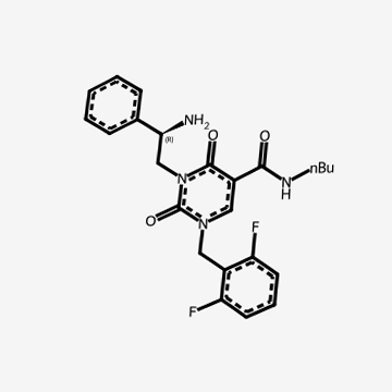 CCCCNC(=O)c1cn(Cc2c(F)cccc2F)c(=O)n(C[C@H](N)c2ccccc2)c1=O